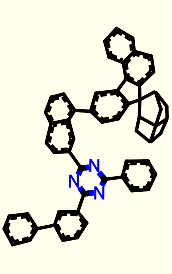 c1ccc(-c2cccc(-c3nc(-c4ccccc4)nc(-c4ccc5cccc(-c6ccc7c(c6)-c6c(ccc8ccccc68)C76C7CC8CC(C7)CC6C8)c5c4)n3)c2)cc1